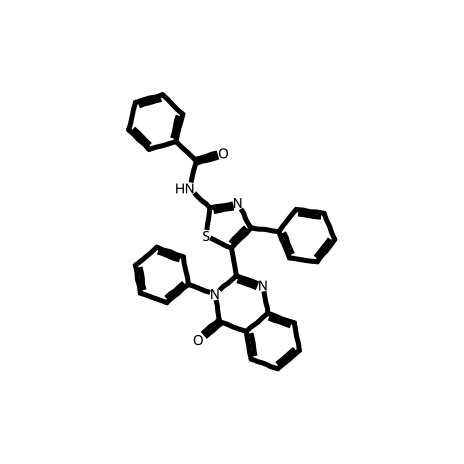 O=C(Nc1nc(-c2ccccc2)c(-c2nc3ccccc3c(=O)n2-c2ccccc2)s1)c1ccccc1